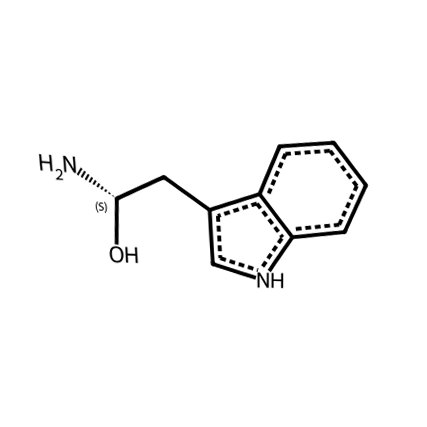 N[C@@H](O)Cc1c[nH]c2ccccc12